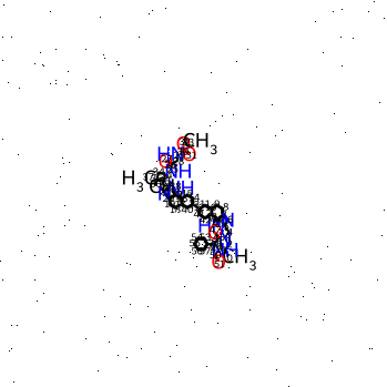 CCCN(Cc1nc2ccc3cc(-c4ccc5c(ccc6nc([C@H]7C(NC(=O)CNC(=O)OC)CC7(C)C)[nH]c65)c4)ccc3c2[nH]1)C(=O)[C@H](NC=O)c1ccccc1